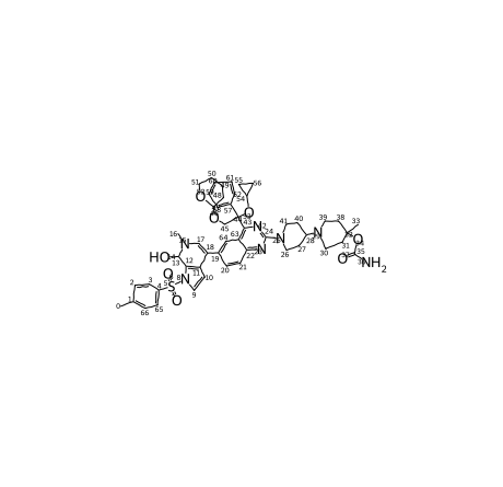 Cc1ccc(S(=O)(=O)n2ccc3c2C(O)N(C)C=C3c2ccc3nc(N4CCC(N5CCC(C)(OC(N)=O)CC5)CC4)nc(C(COC4CCCCO4)(OC4CC4)c4ccccc4)c3c2)cc1